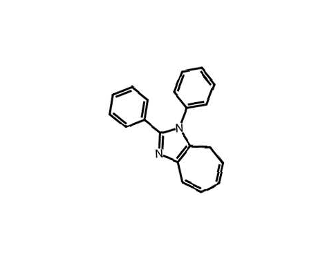 C1=CCc2c(nc(-c3ccccc3)n2-c2ccccc2)C=C1